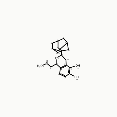 CNCC1OC(C23CC4CC(CC(C4)C2)C3)Cc2c1ccc(O)c2O